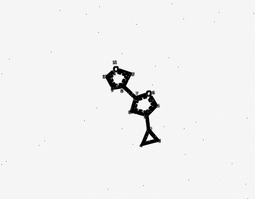 [c]1c(C2CC2)coc1-c1ccoc1